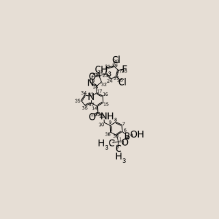 CC1(C)OB(O)c2ccc(CNC(=O)c3ccc(C4=NOC(C)(c5cc(Cl)c(F)c(Cl)c5)C4)n4cccc34)cc21